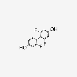 Oc1ccc(-c2c(F)cc(O)cc2F)c(F)c1